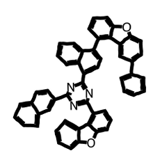 c1ccc(-c2ccc3oc4cccc(-c5ccc(-c6nc(-c7ccc8ccccc8c7)nc(-c7cccc8oc9ccccc9c78)n6)c6ccccc56)c4c3c2)cc1